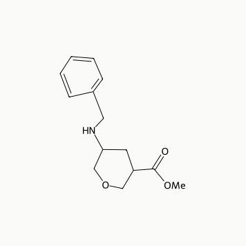 COC(=O)C1COCC(NCc2ccccc2)C1